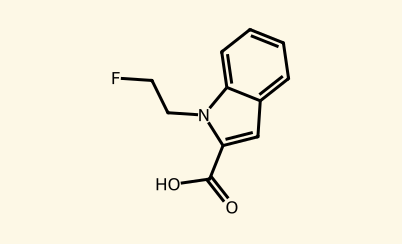 O=C(O)c1cc2ccccc2n1CCF